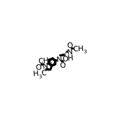 CC(=O)NC[C@H]1CN(c2ccc3c(c2)C[C@@H](C)N3C(C)=O)C(=O)O1